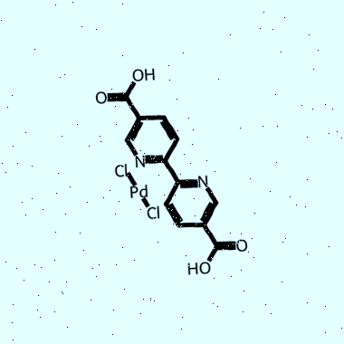 O=C(O)c1ccc(-c2ccc(C(=O)O)cn2)nc1.[Cl][Pd][Cl]